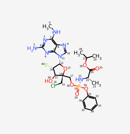 CNc1nc(N)nc2c1ncn2[C@@H]1O[C@](CCl)(CO[P@@](=O)(N[C@@H](C)C(=O)OC(C)C)Oc2ccccc2)[C@@H](O)[C@@H]1F